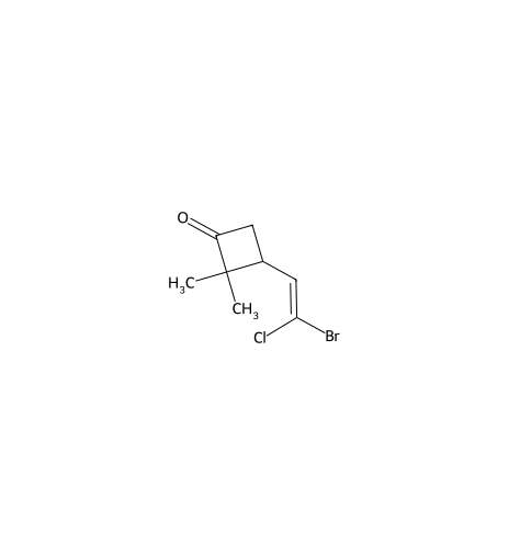 CC1(C)C(=O)CC1/C=C(\Cl)Br